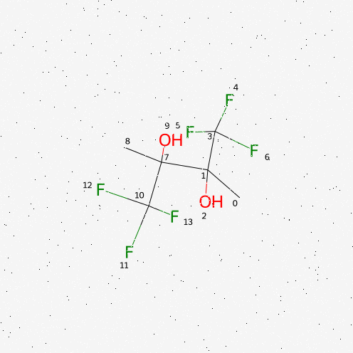 CC(O)(C(F)(F)F)C(C)(O)C(F)(F)F